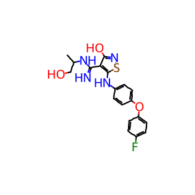 CC(CO)NC(=N)c1c(O)nsc1Nc1ccc(Oc2ccc(F)cc2)cc1